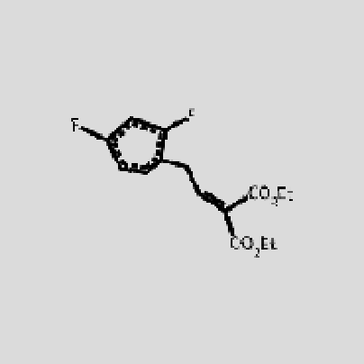 CCOC(=O)C(=CCc1ccc(F)cc1F)C(=O)OCC